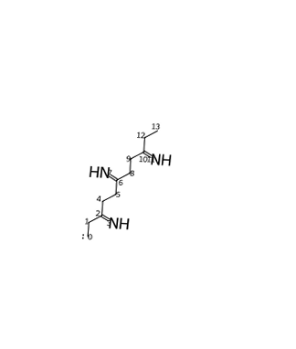 [CH]CC(=N)CCC(=N)CCC(=N)CC